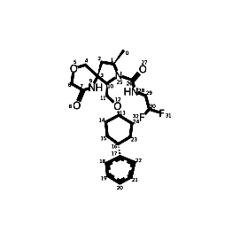 C[C@@H]1C[C@@]2(COCC(=O)N2)[C@H](CO[C@H]2CC[C@@H](c3ccccc3)CC2)N1C(=O)NCC(F)F